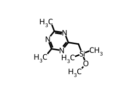 CO[Si](C)(C)Cc1nc(C)nc(C)n1